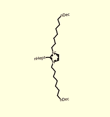 CCCCCCCCCCCCCCCCCn1cc[n+](CCCCCCCCCCCCCCCCC)c1CCCCCCC